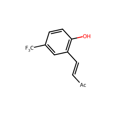 CC(=O)C=Cc1cc(C(F)(F)F)ccc1O